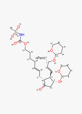 CCCCC[C@@H](C=C[C@H]1[C@H](OC2CCCCO2)CC(=O)[C@@H]1CC=CCCCCOC(=O)NS(C)(=O)=O)OC1CCCCO1